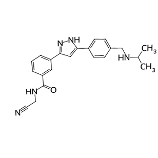 CC(C)NCc1ccc(-c2cc(-c3cccc(C(=O)NCC#N)c3)n[nH]2)cc1